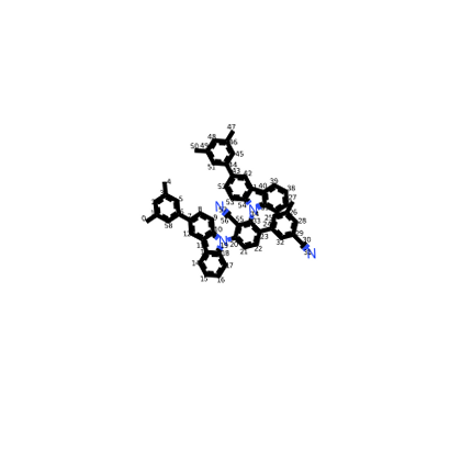 Cc1cc(C)cc(-c2ccc3c(c2)c2ccccc2n3-c2ccc(-c3cc(C)cc(C#N)c3)c(-n3c4ccccc4c4cc(-c5cc(C)cc(C)c5)ccc43)c2C#N)c1